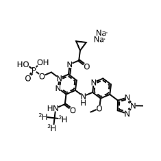 [2H]C([2H])([2H])NC(=O)c1nn(COP(=O)(O)O)/c(=N/C(=O)C2CC2)cc1Nc1nccc(-c2cnn(C)n2)c1OC.[Na].[Na]